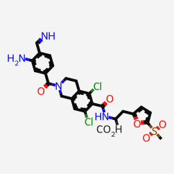 CS(=O)(=O)c1ccc(CC(NC(=O)c2c(Cl)cc3c(c2Cl)CCN(C(=O)c2ccc(C=N)c(N)c2)C3)C(=O)O)o1